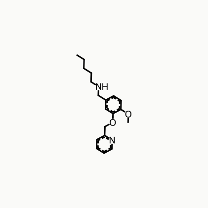 CCCCCNCc1ccc(OC)c(OCc2ccccn2)c1